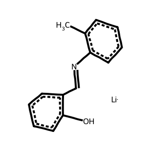 Cc1ccccc1N=Cc1ccccc1O.[Li]